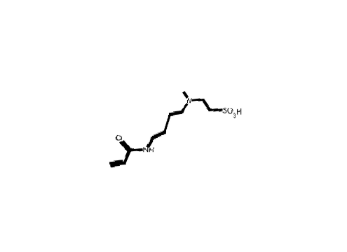 C=CC(=O)NCCCCN(C)CCS(=O)(=O)O